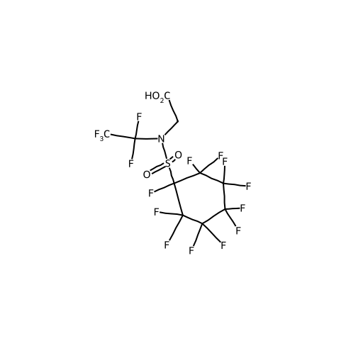 O=C(O)CN(C(F)(F)C(F)(F)F)S(=O)(=O)C1(F)C(F)(F)C(F)(F)C(F)(F)C(F)(F)C1(F)F